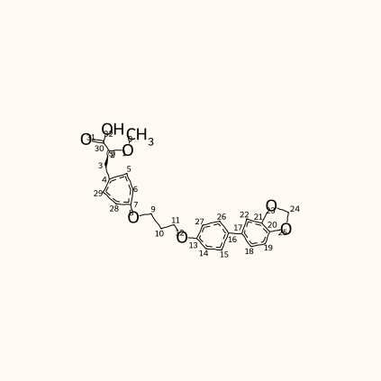 CO[C@@H](Cc1ccc(OCCCOc2ccc(-c3ccc4c(c3)OCO4)cc2)cc1)C(=O)O